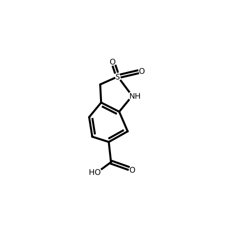 O=C(O)c1ccc2c(c1)NS(=O)(=O)C2